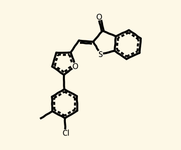 Cc1cc(-c2ccc(C=C3Sc4ccccc4C3=O)o2)ccc1Cl